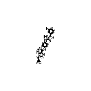 O=C(NC(=S)Nc1ccc(Oc2ncnc3c2ncn3CC2CC2)cc1)c1cccc(F)c1